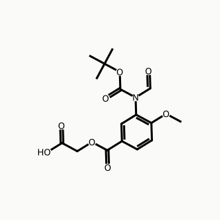 COc1ccc(C(=O)OCC(=O)O)cc1N(C=O)C(=O)OC(C)(C)C